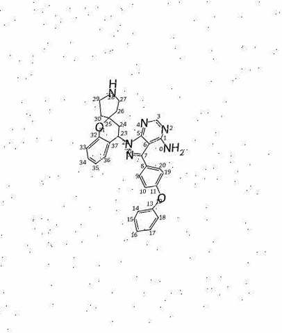 Nc1ncnc2c1c(-c1ccc(Oc3ccccc3)cc1)nn2C1CC2(CCNCC2)Oc2ccccc21